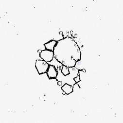 C[C@@H]1[C@@H](C)C/C=C(\F)[C@H](C(=O)N2CC(C)(N3CCOCC3)C2)N2CCC[C@H]2CN2C[C@@]3(CCCc4cc(Cl)ccc43)COc3ccc(cc32)C(=O)NS1(=O)=O